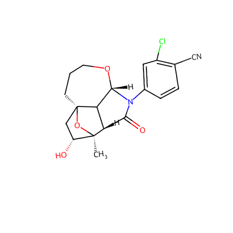 C[C@]12O[C@@]3(CCCO[C@H]4C3[C@@H]1C(=O)N4c1ccc(C#N)c(Cl)c1)C[C@H]2O